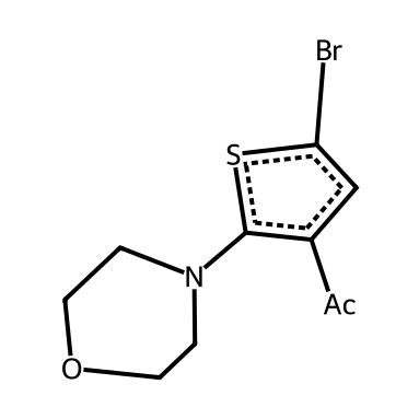 CC(=O)c1cc(Br)sc1N1CCOCC1